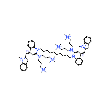 C[N+]1=C(/C=C2\C=C(N(CCC[N+](C)(C)C)CCC[N+](C)(C)C)N(CCCCCCCCCCN3C(N(CCC[N+](C)(C)C)CCC[N+](C)(C)C)=C/C(=C\C4=[N+](C)c5ccccc5C4)c4ccccc43)c3ccccc32)Cc2ccccc21